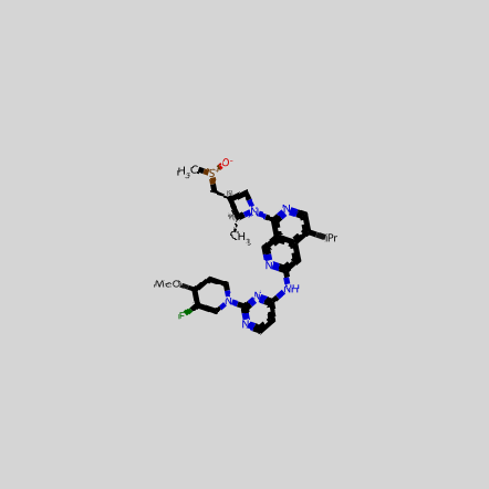 COC1CCN(c2nccc(Nc3cc4c(C(C)C)cnc(N5C[C@H](C[S+](C)[O-])[C@H]5C)c4cn3)n2)CC1F